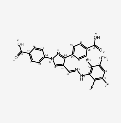 Cc1cc(F)c(F)c(N/N=C/c2cn(-c3ccc(C(=O)O)cc3)nc2-c2ccc(C(=O)O)cc2)c1F